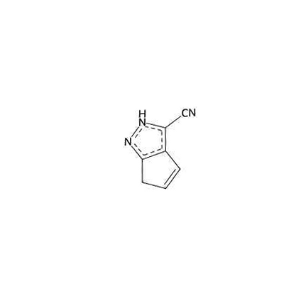 N#Cc1[nH]nc2c1C=CC2